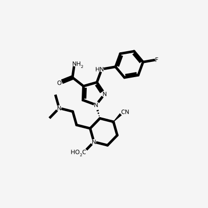 CN(C)CCC1[C@H](n2cc(C(N)=O)c(Nc3ccc(F)cc3)n2)[C@@H](C#N)CCN1C(=O)O